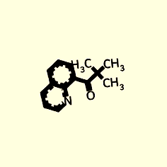 CC(C)(C)C(=O)c1cccc2cccnc12